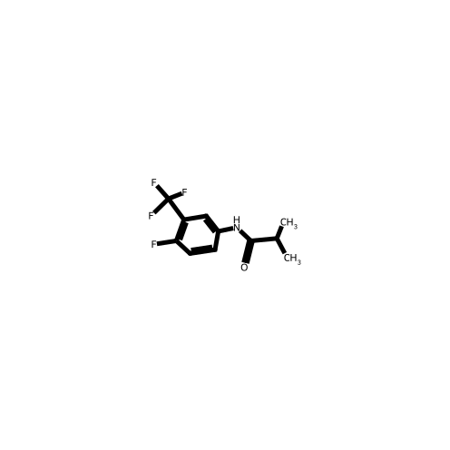 CC(C)C(=O)Nc1ccc(F)c(C(F)(F)F)c1